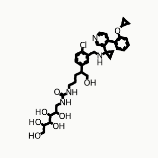 O=C(NCCCC(CO)c1ccc(Cl)c(CNC2(c3cnccc3-c3ccccc3OC3CC3)CC2)c1)NCC(O)C(O)C(O)C(O)CO